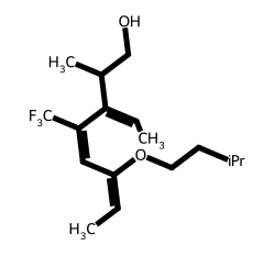 C\C=C(/C(=C\C(=C/C)OCCC(C)C)C(F)(F)F)C(C)CO